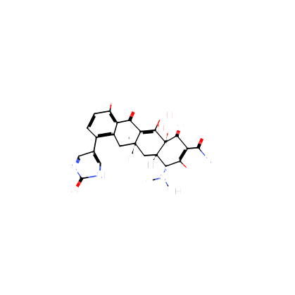 CN(C)[C@@H]1C(O)=C(C(N)=O)C(=O)[C@@]2(O)C(O)=C3C(=O)c4c(O)ccc(-c5cnc(=O)[nH]c5)c4C[C@H]3C[C@@H]12